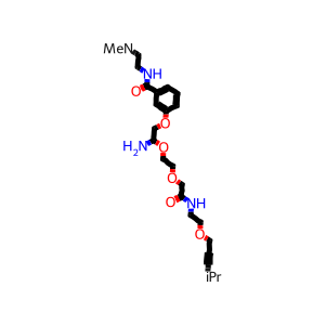 CNCCNC(=O)c1cccc(OCC(N)OCCOCC(=O)NCCOCC#CC(C)C)c1